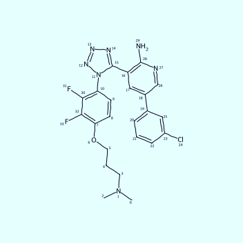 CN(C)CCCOc1ccc(-n2nnnc2-c2cc(-c3cccc(Cl)c3)cnc2N)c(F)c1F